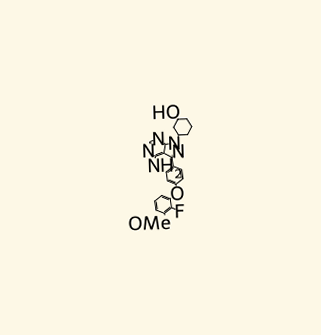 COc1cccc(Oc2ccc(-c3nn([C@@H]4CCC[C@@H](O)C4)c4ncnc(N)c34)cc2)c1F